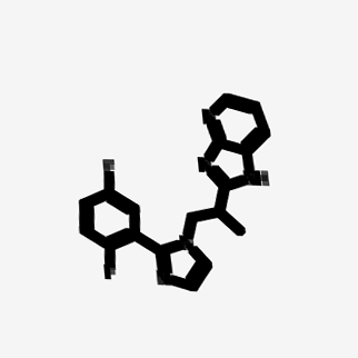 CC(Cn1ccnc1-c1cc(F)ccc1F)c1nc2ncccc2[nH]1